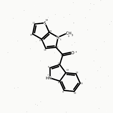 Cn1c(C(=O)c2c[nH]c3ccccc23)cc2ccsc21